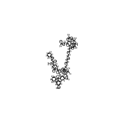 COc1ccc(C(OC[C@H]2O[C@@H](n3ccc(NC(=O)COc4ccccc4)nc3=O)C[C@@H]2OP(=O)(OCCOCCOCCOCCO[C@@H]2O[C@H](COC(C)=O)[C@H](OC(C)=O)[C@H](OC(C)=O)[C@H]2NC(C)=O)N(C(C)C)C(C)C)(c2ccccc2)c2ccc(OC)cc2)cc1